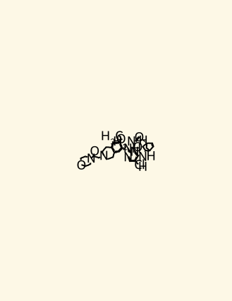 COc1cc2c(cc1Nc1ncc(Cl)c(N[C@H]3[C@@H](OC(N)=O)[C@@H]4C=C[C@H]3C4)n1)CCN(CC(=O)N1CCOCC1)CC2